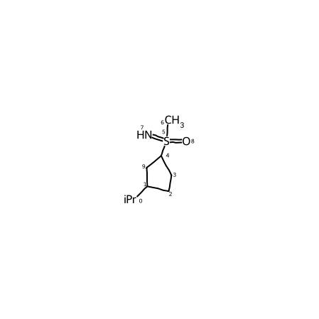 CC(C)C1CCC(S(C)(=N)=O)C1